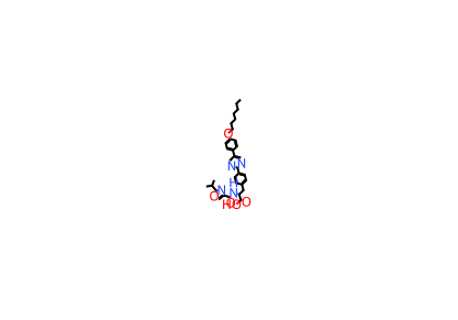 CCCCCCCOc1ccc(-c2cnc(-c3ccc(CC(NC(=O)c4coc(C(C)C)n4)C(=O)O)cc3)nc2)cc1